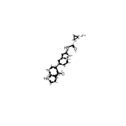 O=C(Nc1cc2cc(-c3cnc4[nH]ccc4c3Cl)ccn2n1)[C@@H]1C[C@@H]1F